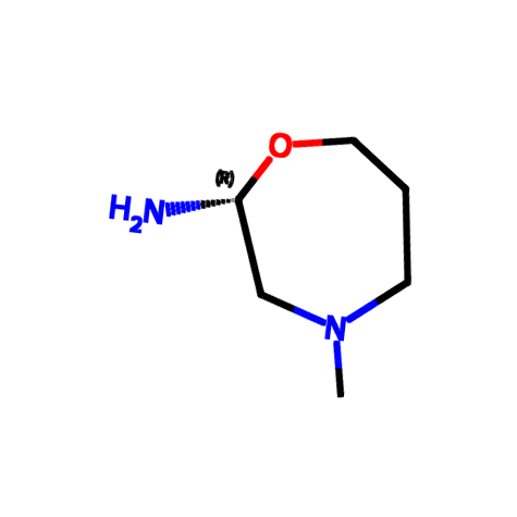 CN1CCCO[C@@H](N)C1